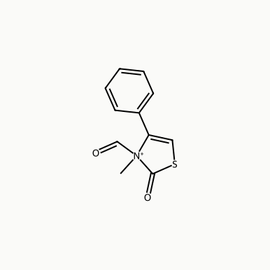 C[N+]1(C=O)C(=O)SC=C1c1ccccc1